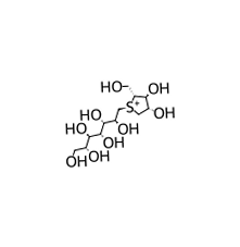 OC[C@@H](O)[C@@H](O)[C@@H](O)[C@H](O)[C@H](O)C[S@+]1C[C@@H](O)[C@H](O)[C@H]1CO